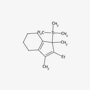 CCC1=C(C)C2=C(CCCC2)[C]1(C)[Ti]([CH3])([CH3])[CH3]